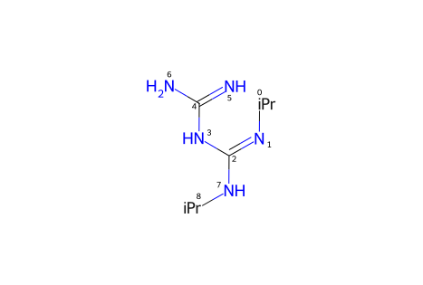 CC(C)/N=C(\NC(=N)N)NC(C)C